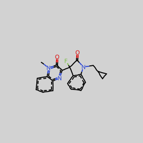 Cn1c(=O)c(C2(F)C(=O)N(CC3CC3)c3ccccc32)nc2ccccc21